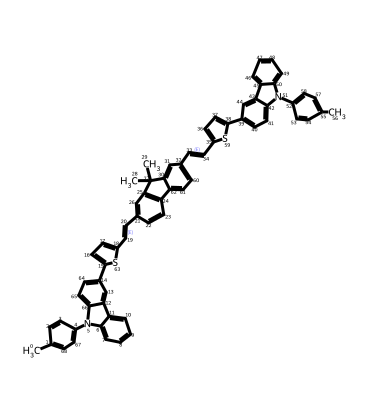 Cc1ccc(-n2c3ccccc3c3cc(-c4ccc(/C=C/c5ccc6c(c5)C(C)(C)c5cc(/C=C/c7ccc(-c8ccc9c(c8)c8ccccc8n9-c8ccc(C)cc8)s7)ccc5-6)s4)ccc32)cc1